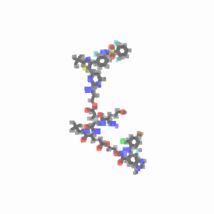 Cn1cnc2c(F)c(Nc3ccc(Br)cc3Cl)c(C(=O)NOCCOC(=O)CC[C@H](NC(=O)[C@H](CCC(=O)OCCNc3nccc(-c4sc(C(C)(C)C)nc4-c4cccc(NS(=O)(=O)c5c(F)cccc5F)c4F)n3)NC(=O)[C@@H](N)CCC=O)C(=O)NCC(C)(C)C)cc21